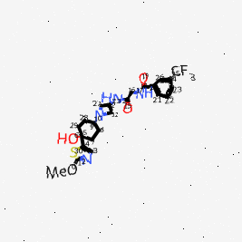 COc1ncc([C@]2(O)CC[C@H](N3CC(NC(=O)CNC(=O)c4cccc(C(F)(F)F)c4)C3)CC2)s1